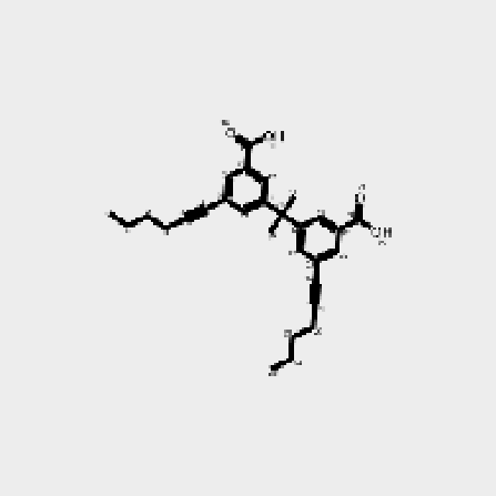 CCCCC#Cc1cc(C(=O)O)cc(C(C)(C)c2cc(C#CCCCC)cc(C(=O)O)c2)c1